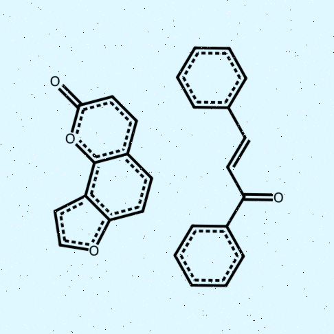 O=C(C=Cc1ccccc1)c1ccccc1.O=c1ccc2ccc3occc3c2o1